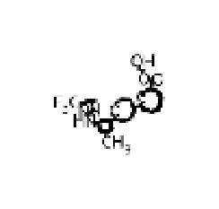 Cc1cc(Nc2nccc(C(F)(F)F)n2)cc(C2CCCCC(c3ccccccc(C(=O)OCCO)cc3)CCC2)c1